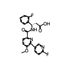 COc1ccc(C(=O)N[C@@H](CC(=O)O)c2ccccc2F)nc1-c1ccc(F)nc1